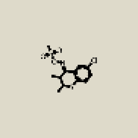 CC1Sc2ccc(Cl)cc2/C(=N/OS(C)(=O)=O)C1C